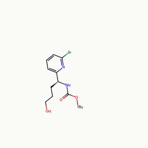 CC(C)(C)OC(=O)N[C@@H](CCCO)c1cccc(Br)n1